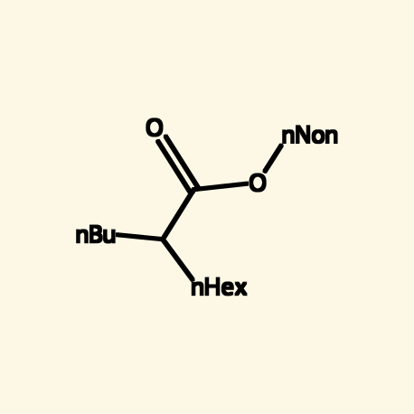 CCCCCCCCCOC(=O)C(CCCC)CCCCCC